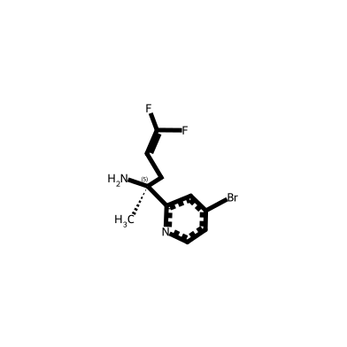 C[C@](N)(CC=C(F)F)c1cc(Br)ccn1